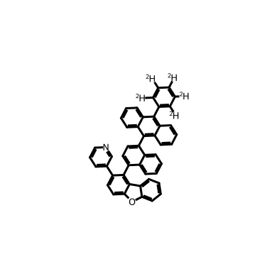 [2H]c1c([2H])c([2H])c(-c2c3ccccc3c(-c3ccc(-c4c(-c5cccnc5)ccc5oc6ccccc6c45)c4ccccc34)c3ccccc23)c([2H])c1[2H]